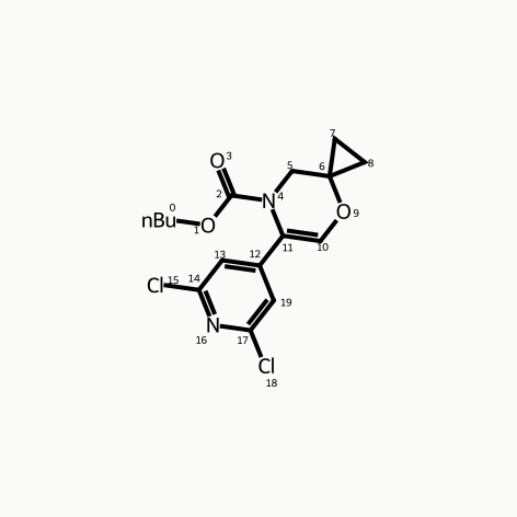 CCCCOC(=O)N1CC2(CC2)OC=C1c1cc(Cl)nc(Cl)c1